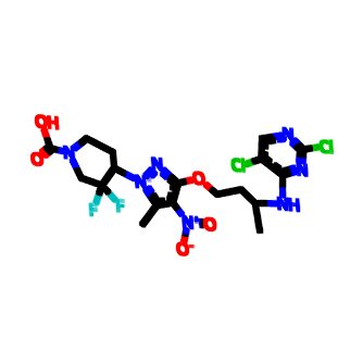 Cc1c([N+](=O)[O-])c(OCCC(C)Nc2nc(Cl)ncc2Cl)nn1C1CCN(C(=O)O)CC1(F)F